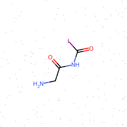 NCC(=O)NC(=O)I